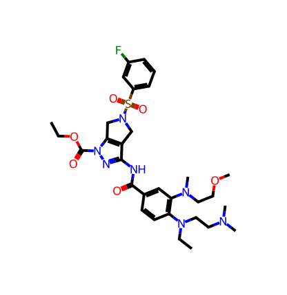 CCOC(=O)n1nc(NC(=O)c2ccc(N(CC)CCN(C)C)c(N(C)CCOC)c2)c2c1CN(S(=O)(=O)c1cccc(F)c1)C2